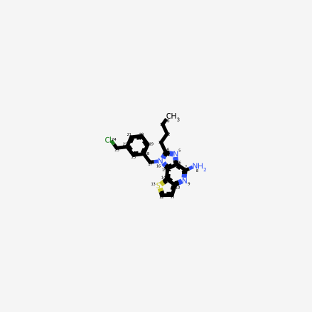 CCCCc1nc2c(N)nc3ccsc3c2n1Cc1cccc(CCl)c1